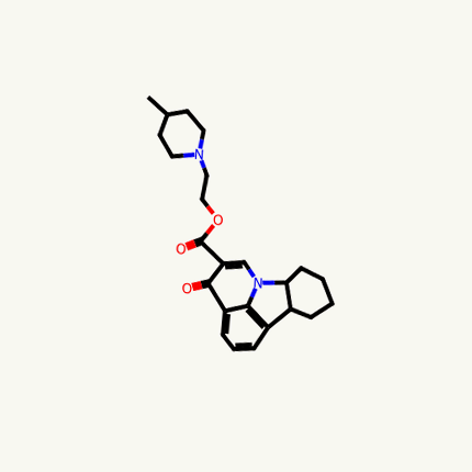 CC1CCN(CCOC(=O)c2cn3c4c(cccc4c2=O)C2CCCCC23)CC1